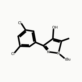 Cc1c(O)c(-c2cc(Cl)cc(Cl)c2)nn1C(C)(C)C